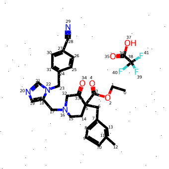 CCOC(=O)C1(Cc2cccc(C)c2)CCN(Cc2cncn2Cc2ccc(C#N)cc2)CC1=O.O=C(O)C(F)(F)F